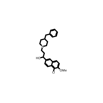 COc1ccc2cc(C(O)CCN3CCC(Cc4ccccc4)CC3)ccc2c1Cl